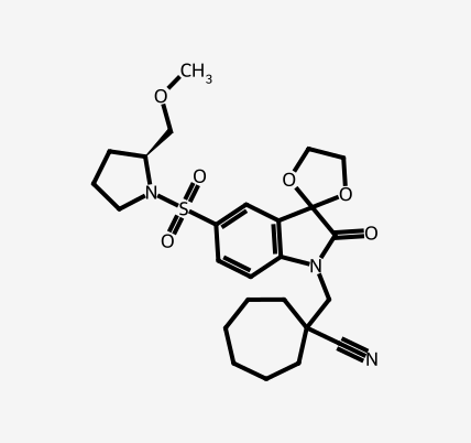 COC[C@@H]1CCCN1S(=O)(=O)c1ccc2c(c1)C1(OCCO1)C(=O)N2CC1(C#N)CCCCCC1